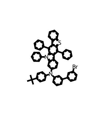 CC(C)(C)c1ccc(N(c2cccc(-c3cccc(Br)c3)c2)c2ccc3c4c(-c5ccccc5)c5sc6ccccc6c5c(-c5ccccc5)c4n(-c4ccccc4)c3c2)cc1